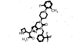 CC(=O)C(C1CCN1)n1cc2c(n1)N(Cc1ccccc1C(F)(F)F)C(=O)N(C1CCN(c3c(C)cccc3F)CC1)C2